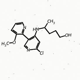 COc1cccnc1-c1cnc(Cl)cc1NC(C)CCCO